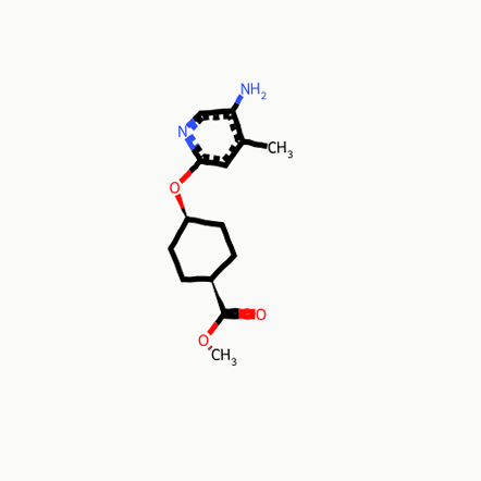 COC(=O)[C@H]1CC[C@@H](Oc2cc(C)c(N)cn2)CC1